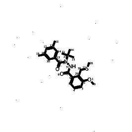 COc1cccc(C(=O)NN(C(=O)c2cc(C)cc(C)c2)C(C)(C)C)c1CSC